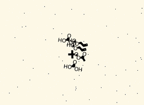 C=CCOO.C=CCOO.CC(=O)OOC(C)(C)C.O=C(O)O.O=C(O)O